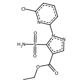 CCOC(=O)c1cnn(-c2cccc(Cl)n2)c1S(N)(=O)=O